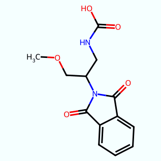 COCC(CNC(=O)O)N1C(=O)c2ccccc2C1=O